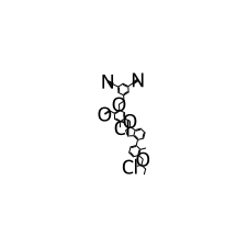 CCC(Cl)Oc1cccc(-c2cccc3c2CCC3Oc2cc(OCc3cc(C#N)cc(C#N)c3)c(C=O)cc2Cl)c1C